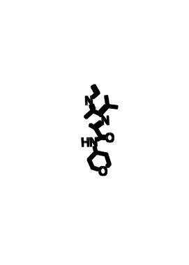 C=C/N=C(/C)C(/N=C(\C)C(=O)NC1CCOCC1)=C(C)C